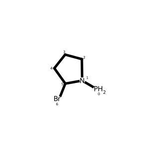 PN1CCCC1Br